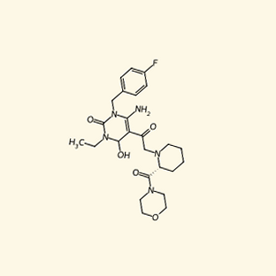 CCN1C(=O)N(Cc2ccc(F)cc2)C(N)=C(C(=O)CN2CCCC[C@@H]2C(=O)N2CCOCC2)C1O